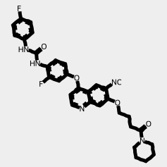 [C-]#[N+]c1cc2c(Oc3ccc(NC(=O)Nc4ccc(F)cc4)c(F)c3)ccnc2cc1OCCCC(=O)N1CCCCC1